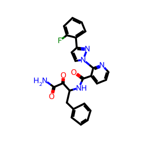 NC(=O)C(=O)C(Cc1ccccc1)NC(=O)c1cccnc1-n1ccc(-c2ccccc2F)n1